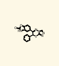 O=c1[nH]c2cc(C3=Nn4cnnc4SC3c3ccccc3)ccc2o1